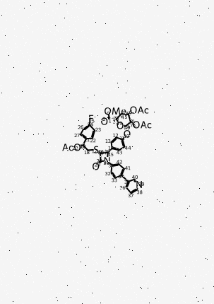 COC(=O)[C@@H]1[CH][C@H](OC(C)=O)[C@@H](OC(C)=O)[C@H](Oc2ccc([C@@H]3[C@@H](SC[C@@H](OC(C)=O)c4ccc(F)cc4)C(=O)N3c3ccc(-c4cccnc4)cc3)cc2)O1